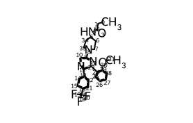 CCC(=O)NC1CCN(c2cnc(-c3ccc(C(F)(F)F)cc3)c(-c3ccccc3OC)n2)CC1